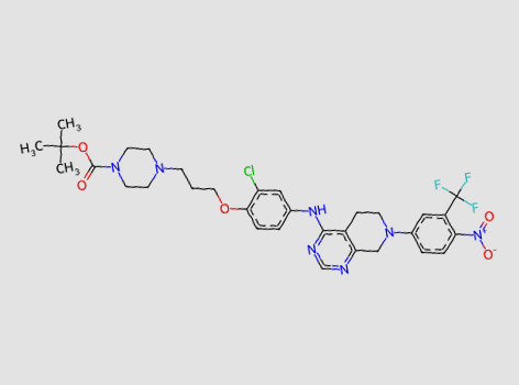 CC(C)(C)OC(=O)N1CCN(CCCOc2ccc(Nc3ncnc4c3CCN(c3ccc([N+](=O)[O-])c(C(F)(F)F)c3)C4)cc2Cl)CC1